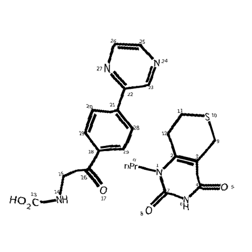 CCCn1c2c(c(=O)[nH]c1=O)CSCC2.O=C(O)NCC(=O)c1ccc(-c2cnccn2)cc1